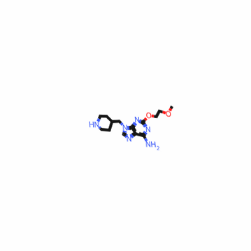 COCCOc1nc(N)c2ncn(CC3CCNCC3)c2n1